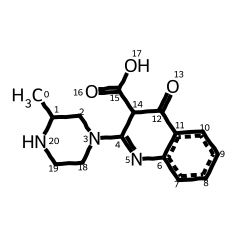 CC1CN(C2=Nc3ccccc3C(=O)C2C(=O)O)CCN1